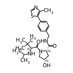 Cc1ncsc1-c1ccc(CNC(=O)[C@@H]2C[C@H](O)CN2C(=O)[C@@H](NC(C)C)C(C)(C)C)cc1